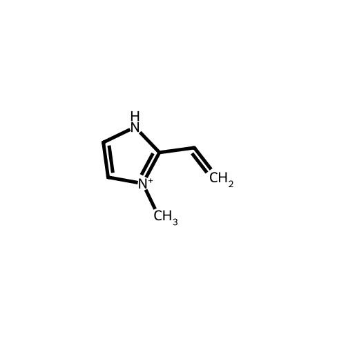 C=Cc1[nH]cc[n+]1C